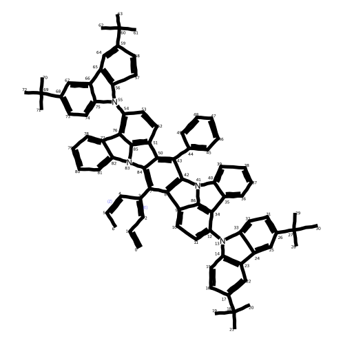 C=C/C=C(\C=C/C)c1c2c3ccc(-n4c5ccc(C(C)(C)C)cc5c5cc(C(C)(C)C)ccc54)c4c5ccccc5n(c2c(-c2ccccc2)c2c5ccc(-n6c7ccc(C(C)(C)C)cc7c7cc(C(C)(C)C)ccc76)c6c7ccccc7n(c12)c56)c34